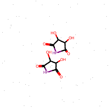 O=C1PC(=O)C(O)C1O.O=C1PC(=O)C(O)C1O